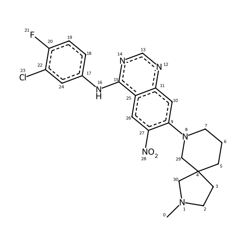 CN1CCC2(CCCN(c3cc4ncnc(Nc5ccc(F)c(Cl)c5)c4cc3[N+](=O)[O-])C2)C1